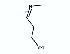 CCCCC/C=N\C